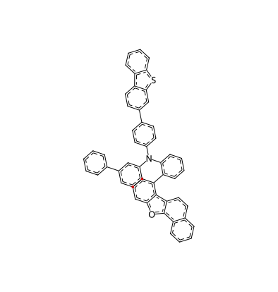 c1ccc(-c2cccc(N(c3ccc(-c4ccc5c(c4)sc4ccccc45)cc3)c3ccccc3-c3cccc4oc5c6ccccc6ccc5c34)c2)cc1